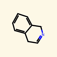 [CH]1N=CCc2ccccc21